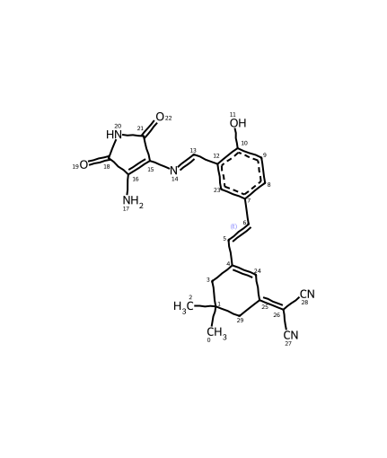 CC1(C)CC(/C=C/c2ccc(O)c(C=NC3=C(N)C(=O)NC3=O)c2)=CC(=C(C#N)C#N)C1